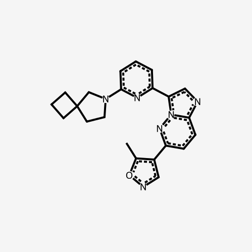 Cc1oncc1-c1ccc2ncc(-c3cccc(N4CCC5(CCC5)C4)n3)n2n1